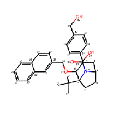 CC(C)(C)C12CCC(CC(c3ccc(CO)cc3)C1OCc1ccc3ccccc3c1)N2C(=O)O